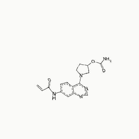 C=CC(=O)Nc1ccc2c(N3CCC(OC(N)=O)C3)ncnc2c1